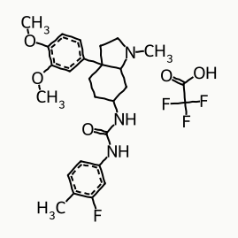 COc1ccc(C23CCC(NC(=O)Nc4ccc(C)c(F)c4)CC2N(C)CC3)cc1OC.O=C(O)C(F)(F)F